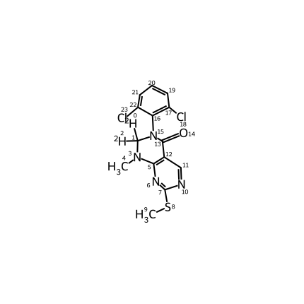 [2H]C1([2H])N(C)c2nc(SC)ncc2C(=O)N1c1c(Cl)cccc1Cl